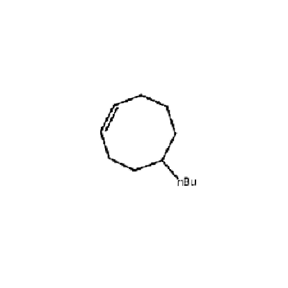 C[CH]CCC1CCC=CCCC1